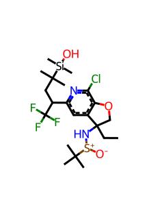 CCC1(N[S+]([O-])C(C)(C)C)COc2c1cc(C(CC(C)(C)[Si](C)(C)O)C(F)(F)F)nc2Cl